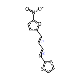 O=[N+]([O-])c1ccc(/C=C/C=N/c2nccs2)o1